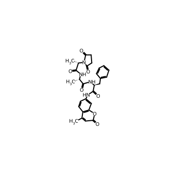 Cc1cc(=O)oc2cc(NC(=O)[C@H](Cc3ccccc3)NC(=O)[C@H](C)NC(=O)[C@H](C)N3C(=O)CCC3=O)ccc12